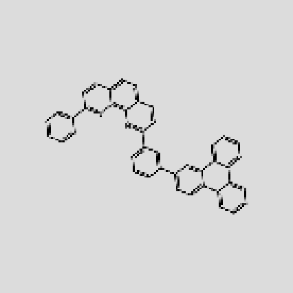 c1ccc(-c2ccc3ccc4ccc(-c5cccc(-c6ccc7c8ccccc8c8ccccc8c7c6)c5)nc4c3n2)cc1